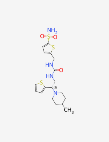 CC1CCN([C@@H](CNC(=O)NCc2ccc(S(N)(=O)=O)s2)c2cccs2)CC1